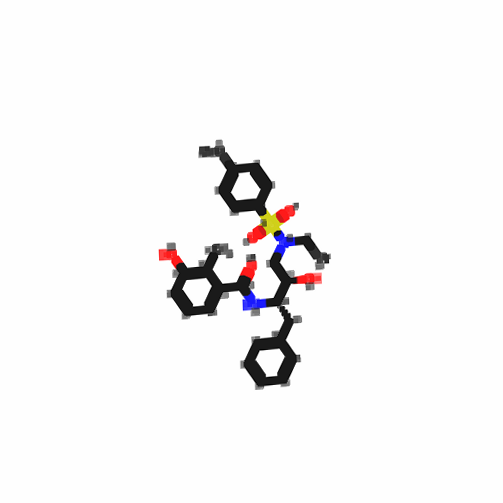 COc1ccc(S(=O)(=O)N(CC(C)C)C[C@@H](O)[C@H](Cc2ccccc2)NC(=O)c2cccc(O)c2C)cc1